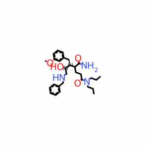 CCCN(CCC)C(=O)CCC(C(N)=O)[C@H](Cc1cccc(OC)c1)[C@@H](O)CNCc1ccccc1